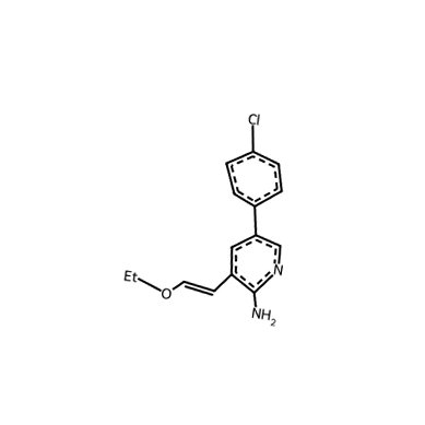 CCO/C=C/c1cc(-c2ccc(Cl)cc2)cnc1N